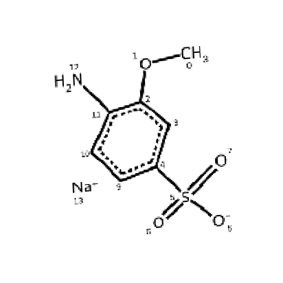 COc1cc(S(=O)(=O)[O-])ccc1N.[Na+]